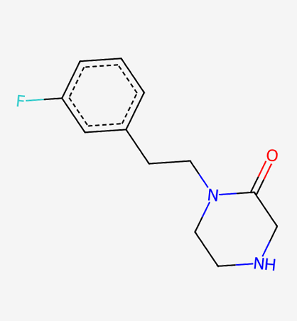 O=C1CNCCN1CCc1cccc(F)c1